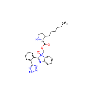 CCCCCCC1CCN[C@@H]1C(=O)OC[N+]1([O-])C(c2ccccc2-c2nn[nH]n2)=Nc2ccccc21